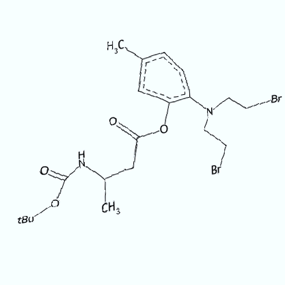 Cc1ccc(N(CCBr)CCBr)c(OC(=O)CC(C)NC(=O)OC(C)(C)C)c1